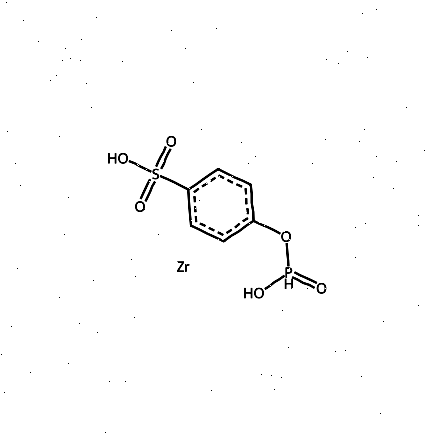 O=[PH](O)Oc1ccc(S(=O)(=O)O)cc1.[Zr]